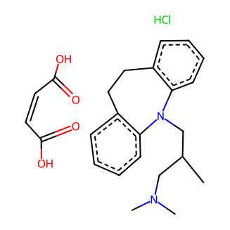 CC(CN(C)C)CN1c2ccccc2CCc2ccccc21.Cl.O=C(O)/C=C\C(=O)O